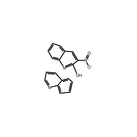 O=[N+]([O-])c1cc2ccccc2nc1O.c1ccc2ncccc2c1